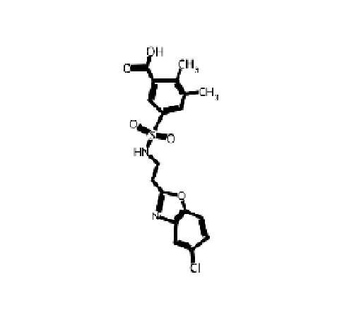 Cc1cc(S(=O)(=O)NCCc2nc3cc(Cl)ccc3o2)cc(C(=O)O)c1C